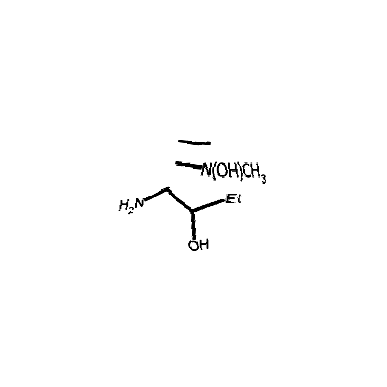 CC.CCC(O)CN.CN(C)O